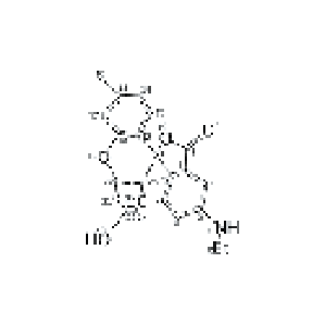 CCNc1ccc2c(c1)C(=O)OC21c2ccc(C)cc2Oc2cc(O)ccc21